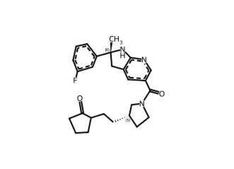 C[C@]1(c2cccc(F)c2)Cc2cc(C(=O)N3CC[C@H](CCC4CCCC4=O)C3)cnc2N1